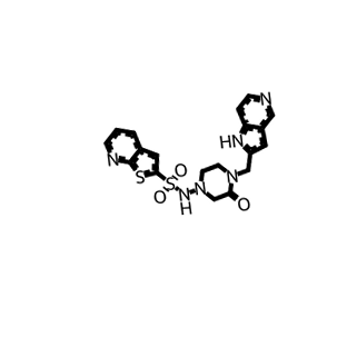 O=C1CN(NS(=O)(=O)c2cc3cccnc3s2)CCN1Cc1cc2cnccc2[nH]1